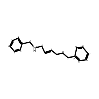 C(=CCNCc1ccccc1)CCCc1ccccc1